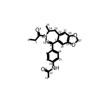 CCC(=O)N1N=C(c2ccc(NC(C)=O)cc2)c2cc3c(cc2CC1C)OCO3